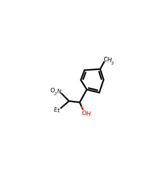 CCC(C(O)c1ccc(C)cc1)[N+](=O)[O-]